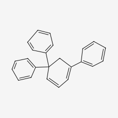 C1=CC(c2ccccc2)(c2ccccc2)CC(c2ccccc2)=C1